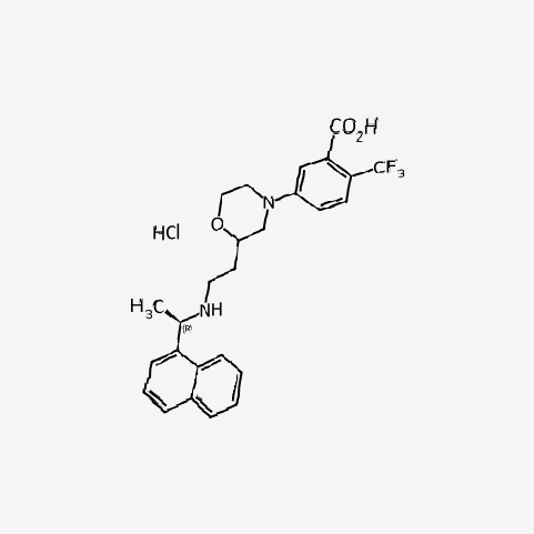 C[C@@H](NCCC1CN(c2ccc(C(F)(F)F)c(C(=O)O)c2)CCO1)c1cccc2ccccc12.Cl